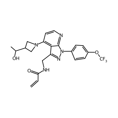 C=CC(=O)NCc1nn(-c2ccc(OC(F)(F)F)cc2)c2nccc(N3CC(C(C)O)C3)c12